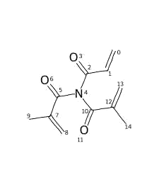 C=CC(=O)N(C(=O)C(=C)C)C(=O)C(=C)C